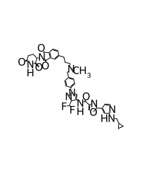 CN(CCCc1ccc2c(c1)C(=O)N(C1CCC(=O)NC1=O)C2=O)Cc1ccc(-n2cc(NC(=O)c3coc(-c4ccnc(NCC5CC5)c4)n3)c(C(F)F)n2)cc1